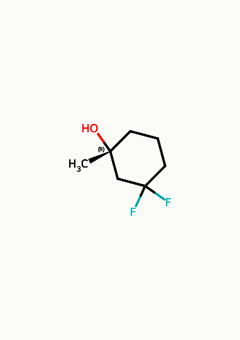 C[C@@]1(O)CCCC(F)(F)C1